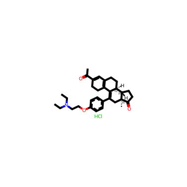 CCN(CC)CCOc1ccc(C2=C3C4=C(C=C(C(C)=O)CC4)CC[C@H]3[C@@H]3CCC(=O)[C@@]3(C)C2)cc1.Cl